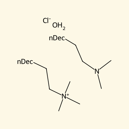 CCCCCCCCCCCCN(C)C.CCCCCCCCCCCC[N+](C)(C)C.O.[Cl-]